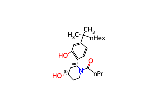 CCCCCCC(C)(C)c1ccc([C@H]2C[C@@H](O)CCN2C(=O)CCC)c(O)c1